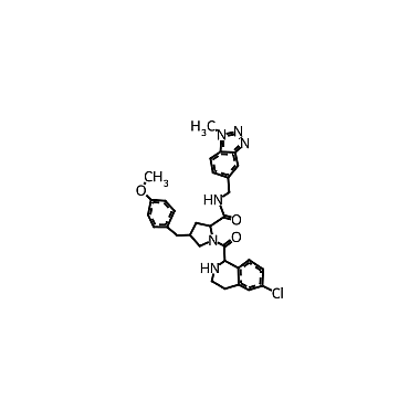 COc1ccc(CC2CC(C(=O)NCc3ccc4c(c3)nnn4C)N(C(=O)C3NCCc4cc(Cl)ccc43)C2)cc1